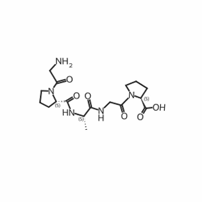 C[C@H](NC(=O)[C@@H]1CCCN1C(=O)CN)C(=O)NCC(=O)N1CCC[C@H]1C(=O)O